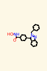 O=C(NO)c1ccc(-c2c3ccccc3nn2Cc2ccccc2)cc1